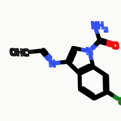 NC(=O)n1cc(N=CC=O)c2ccc(Cl)cc21